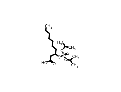 CCCCCCCC(CC(=O)O)SP(=S)(OC(C)C)OC(C)C